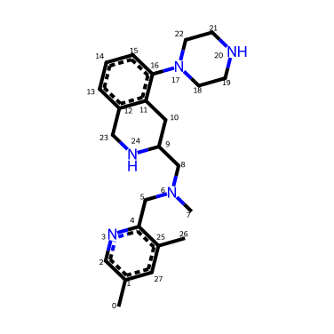 Cc1cnc(CN(C)CC2Cc3c(cccc3N3CCNCC3)CN2)c(C)c1